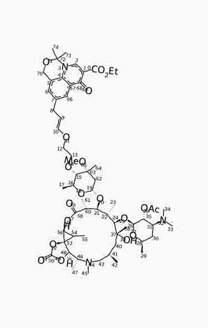 CCOC(=O)c1cn2c3c(cc(CC=COCCO[C@H]4[C@H](C)O[C@@H](O[C@H]5[C@H](C)[C@@H](O[C@@H]6O[C@H](C)C[C@H](N(C)C)[C@H]6OC(C)=O)[C@](C)(O)C[C@@H](C)CN(C)[C@H](C)[C@H]6OC(=O)O[C@@]67C(C)[C@H]7OC(=O)[C@@H]5C)C[C@@]4(C)OC)cc3c1=O)COC2(C)C